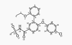 CCOc1ccccc1-c1cc(C(=O)NS(C)(=O)=O)ccc1Oc1ccc(Cl)cc1